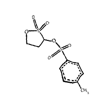 Cc1ccc(S(=O)(=O)OC2CCOS2(=O)=O)cc1